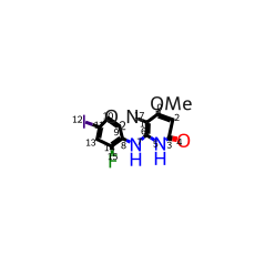 COc1cc(=O)[nH]c(Nc2ccc(I)cc2F)c1[N+](=O)[O-]